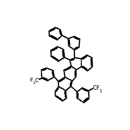 FC(F)(F)c1cccc(-c2c3ccccc3c(-c3cccc(C(F)(F)F)c3)c3cc4c(cc23)c(-c2ccccc2)c(-c2cccc(-c3ccccc3)c2)c2ccccc24)c1